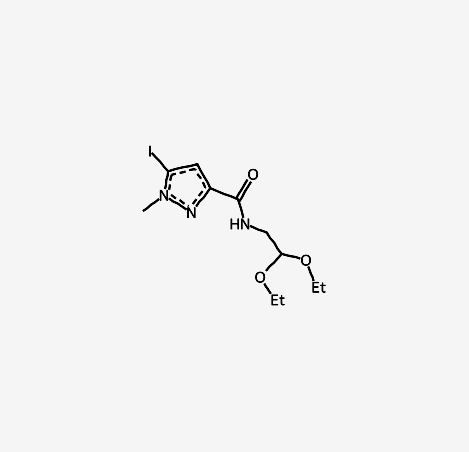 CCOC(CNC(=O)c1cc(I)n(C)n1)OCC